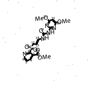 COC(=O)c1cccnc1S(=O)(=O)CC=CNC(=O)Nc1nc(OC)cc(OC)n1